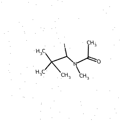 CC(=O)N(C)C(I)C(C)(C)C